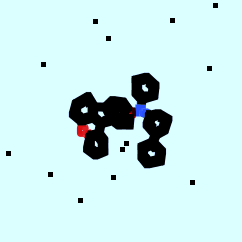 c1ccc(-c2cccc(N(c3ccccc3)c3ccc(C45c6ccccc6Oc6cccc(c64)-c4ccccc45)cc3)c2)cc1